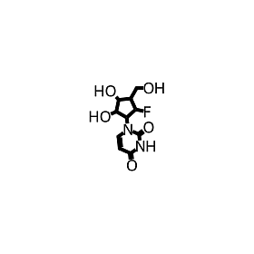 O=c1ccn(C2C(O)C(O)C(CO)C2F)c(=O)[nH]1